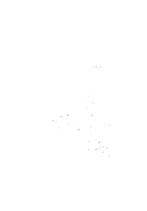 CCCCCCCCCCCCCCCCCCOC(CCBr)C(COP(=O)(O)O)OCc1ccccc1